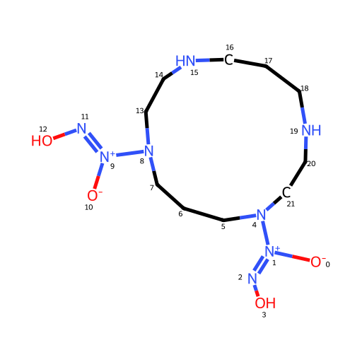 [O-][N+](=NO)N1CCCN([N+]([O-])=NO)CCNCCCNCC1